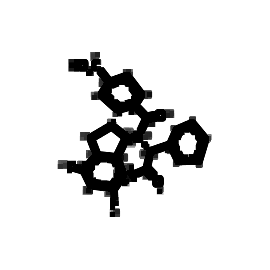 NC(=O)[C@@H](c1ccccc1)N(C(=O)c1ccc(C(=O)O)cc1)[C@@H]1CCc2c(F)cc(F)cc21